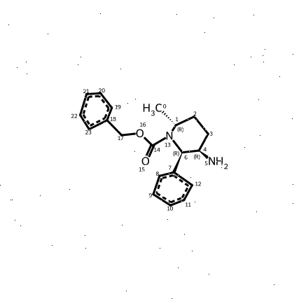 C[C@@H]1CC[C@@H](N)[C@@H](c2ccccc2)N1C(=O)OCc1ccccc1